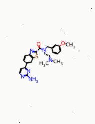 COc1cccc(CN(CCN(C)C)C(=O)c2nc3ccc(-c4ccnc(N)n4)cc3s2)c1